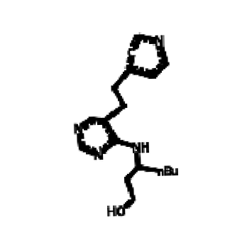 CCCCC(CCO)Nc1ncncc1CCc1ccncc1